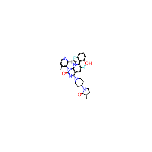 Cc1ccnc(C(C)C)c1-n1c(=O)nc(N2CCC(N3CCC(C)C3=O)CC2)c2cc(F)c(-c3c(O)cccc3F)nc21